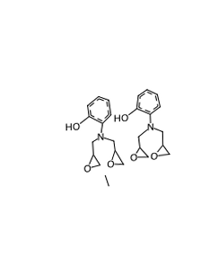 CC.Oc1ccccc1N(CC1CO1)CC1CO1.Oc1ccccc1N(CC1CO1)CC1CO1